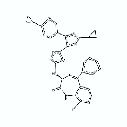 O=C1Nc2c(F)cccc2C(c2ccccc2)=N[C@@H]1Nc1nnc(-c2nc(C3CC3)sc2-c2cnc(C3CC3)nc2)o1